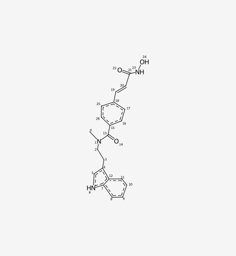 CN(CCc1c[nH]c2ccccc12)C(=O)c1ccc(/C=C/C(=O)NO)cc1